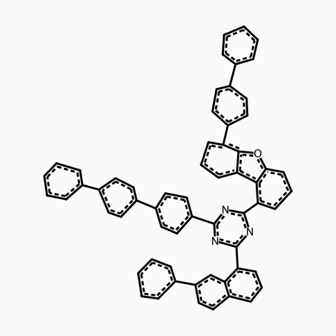 c1ccc(-c2ccc(-c3ccc(-c4nc(-c5cccc6ccc(-c7ccccc7)cc56)nc(-c5cccc6oc7c(-c8ccc(-c9ccccc9)cc8)cccc7c56)n4)cc3)cc2)cc1